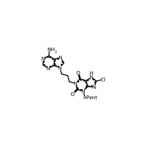 CCCCCn1c(=O)n(CCCn2cnc3c(N)ncnc32)c(=O)c2[nH]c(Cl)nc21